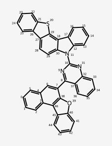 c1ccc2c(c1)cc(-c1nc(-n3c4ccccc4c4c5sc6ccccc6c5ccc43)nc3ccccc13)c1oc3ccccc3c12